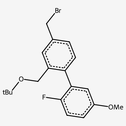 COc1ccc(F)c(-c2ccc(CBr)cc2COC(C)(C)C)c1